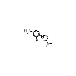 CN(C)[C@H]1CCN(c2ccc(N)cc2F)C1